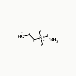 B.C[N+](C)(C)CCO